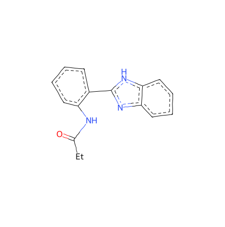 CCC(=O)Nc1ccccc1-c1nc2ccccc2[nH]1